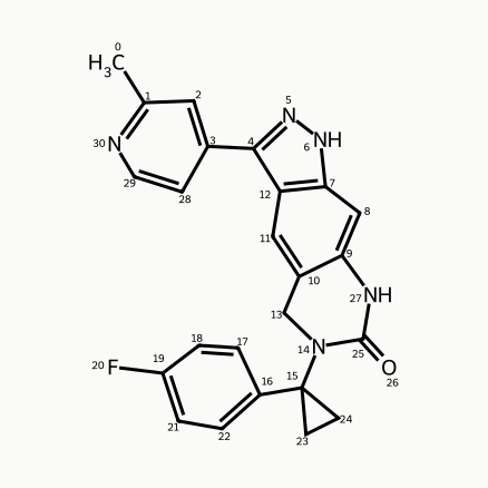 Cc1cc(-c2n[nH]c3cc4c(cc23)CN(C2(c3ccc(F)cc3)CC2)C(=O)N4)ccn1